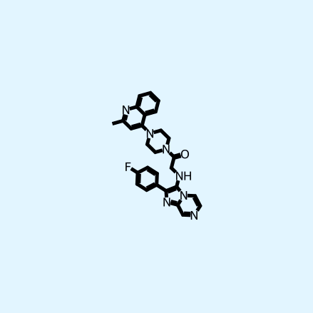 Cc1cc(N2CCN(C(=O)CNc3c(-c4ccc(F)cc4)nc4cnccn34)CC2)c2ccccc2n1